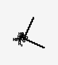 CCCCCCCCCCCCCCCC(=O)C(OC(=O)[C@@H](N)CS)(C(=O)CCCCCCCCCCCCCCC)[C@@H](O)CO